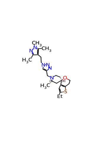 CCc1cc2c(s1)CCO[C@@]21CCN(Cc2cn(CCc3c(C)nn(C)c3C)nn2)[C@@H](C)C1